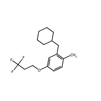 Cc1ccc(OCCC(F)(F)F)cc1CC1CCCCC1